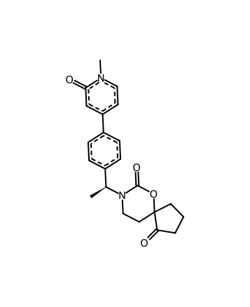 C[C@@H](c1ccc(-c2ccn(C)c(=O)c2)cc1)N1CCC2(CCCC2=O)OC1=O